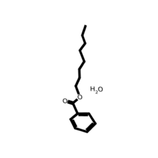 CCCCCCCCOC(=O)c1ccccc1.O